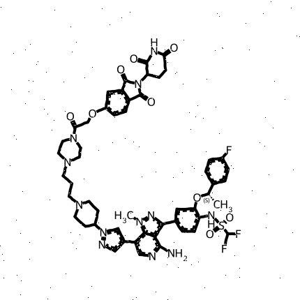 C[C@H](Oc1cc(-c2nn(C)c3c(-c4cnn(C5CCN(CCCN6CCN(C(=O)COc7ccc8c(c7)C(=O)N(C7CCC(=O)NC7=O)C8=O)CC6)CC5)c4)cnc(N)c23)ccc1NS(=O)(=O)C(F)F)c1ccc(F)cc1